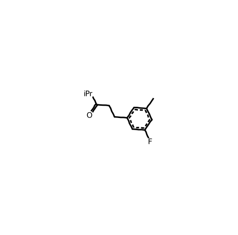 Cc1cc(F)cc(CCC(=O)C(C)C)c1